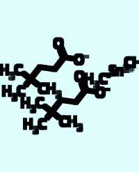 CC(C)(C)CCC(=O)[O-].CC(C)(C)CCC(=O)[O-].[CH3][Sn+2][CH3]